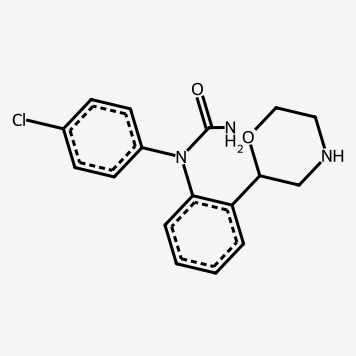 NC(=O)N(c1ccc(Cl)cc1)c1ccccc1C1CNCCO1